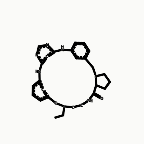 CCN1CCNC(=O)C2CCCN2Cc2cccc(c2)Nc2cc(ncn2)Nc2cccc(c2)C1